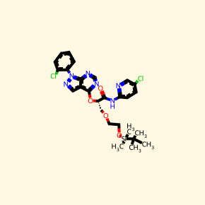 CC(C)(C)[Si](C)(C)OCCOC[C@H](Oc1ncnc2c1cnn2-c1ccccc1Cl)C(=O)Nc1ccc(Cl)cn1